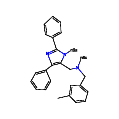 CCCCN(Cc1cccc(C)c1)Cc1c(-c2ccccc2)nc(-c2ccccc2)n1CCCC